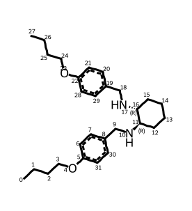 CCCCOc1ccc(CN[C@@H]2CCCC[C@H]2NCc2ccc(OCCCC)cc2)cc1